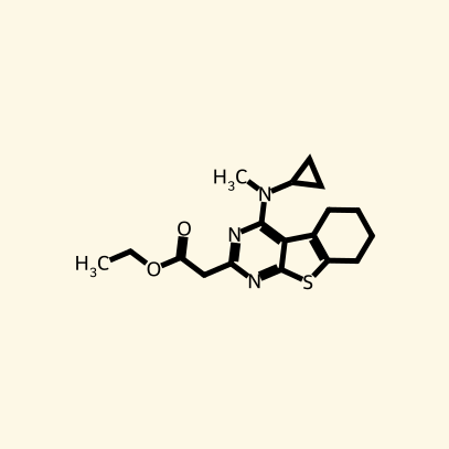 CCOC(=O)Cc1nc(N(C)C2CC2)c2c3c(sc2n1)CCCC3